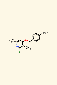 COc1ccc(COc2cc(C)nc(Cl)c2C)cc1